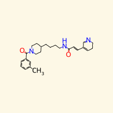 Cc1cccc(C(=O)N2CCC(CCCCNC(=O)/C=C/C3=CCCN=C3)CC2)c1